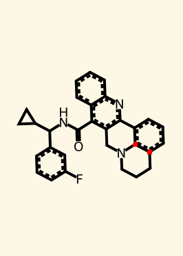 O=C(NC(c1cccc(F)c1)C1CC1)c1c(CN2CCCCC2)c(-c2ccccc2)nc2ccccc12